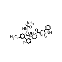 CCc1cccc(-c2c(F)cccc2[C@](O)(CCCNC(=O)OC)[C@@H]2CCCN(C(=O)[C@H](N)CC3CNc4ccccc43)C2)c1